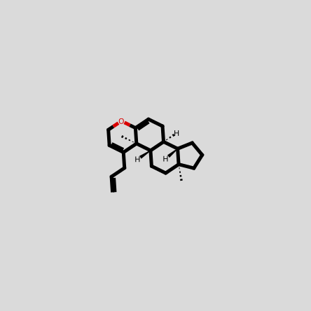 C=CCC1=CCOC2=CC[C@H]3[C@@H]4CCC[C@@]4(C)CC[C@@H]3[C@@]12C